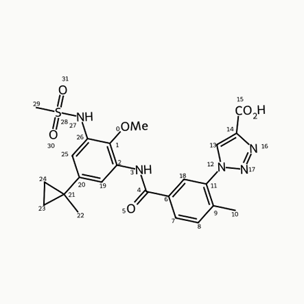 COc1c(NC(=O)c2ccc(C)c(-n3cc(C(=O)O)nn3)c2)cc(C2(C)CC2)cc1NS(C)(=O)=O